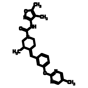 Cc1cnc(Oc2cccc(C=C3CCN(C(=O)Nc4noc(C)c4C)CC3C)c2)nc1